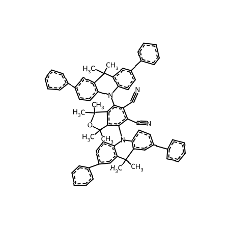 CC1(C)OC(C)(C)c2c(N3c4ccc(-c5ccccc5)cc4C(C)(C)c4cc(-c5ccccc5)ccc43)c(C#N)c(C#N)c(N3c4ccc(-c5ccccc5)cc4C(C)(C)c4cc(-c5ccccc5)ccc43)c21